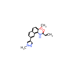 C=CC(=O)Nc1c(OC)ccc2ccc(-c3cnn(C)c3)cc12